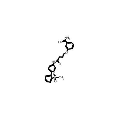 CS(=O)(=O)c1ccccc1-c1ccc(NC(=O)CCCOc2cccc(C(=N)N)c2)cc1